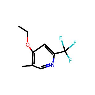 CCOc1cc(C(F)(F)F)ncc1C